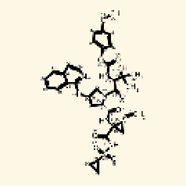 C=C[C@@H]1C[C@]1(NC(=O)[C@@H]1C[C@@H](Oc2nccc3ccccc23)CN1C(=O)[C@@H](NC(=O)Oc1ccc(OC)cc1)C(C)(C)C)C(=O)NS(=O)(=O)C1CC1